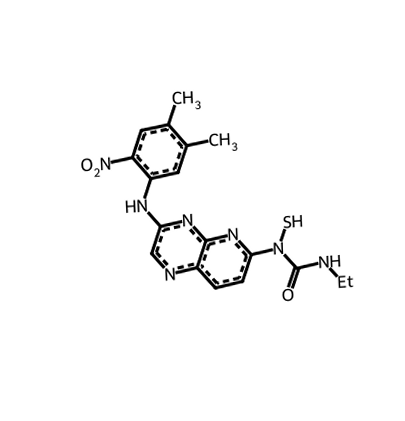 CCNC(=O)N(S)c1ccc2ncc(Nc3cc(C)c(C)cc3[N+](=O)[O-])nc2n1